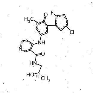 C[C@H](O)CNC(=O)c1cnccc1Nc1cc(-c2cc(Cl)ccc2F)c(=O)n(C)c1